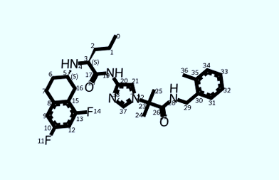 CCC[C@H](N[C@H]1CCc2cc(F)cc(F)c2C1)C(=O)Nc1cn(C(C)(C)C(=O)NCc2ccccc2C)cn1